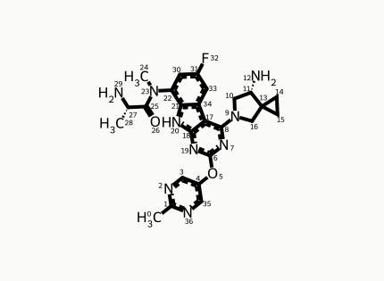 Cc1ncc(Oc2nc(N3C[C@H](N)C4(CC4)C3)c3c(n2)[nH]c2c(N(C)C(=O)[C@H](C)N)cc(F)cc23)cn1